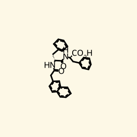 O=C(Cc1ccc2ccccc2c1)N[C@H](Cc1ccccc1)C(=O)N[C@H](Cc1ccccc1)C(=O)O